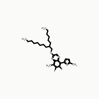 CCCCCCCCC(CCCCCC)COc1cnc2c(-c3ccc(C)s3)c(F)c(F)c(C)c2n1